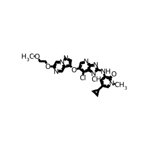 COCCOc1cn2ncc(Oc3cnc4nc(Nc5cc(C6CC6)cn(C)c5=O)n(C)c4c3Cl)c2cn1